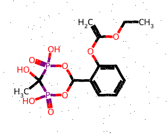 C=C(OCC)Oc1ccccc1C1OP(=O)(O)C(C)(O)P(=O)(O)O1